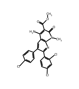 COC(=O)c1c(N)c2cc(-c3ccc(Cl)cc3)c(-c3ccc(Cl)cc3Cl)nc2n(C)c1=O